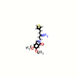 COc1cc2c(cc1OC)C(=O)N(CCC(N)CCc1ccsc1)C2